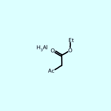 [AlH3].[CH2]COC(=O)CC(C)=O